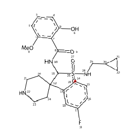 COc1cccc(O)c1C(=O)NC(C1(c2cccc(F)c2)CCNCC1)S(=O)(=O)NCC1CC1